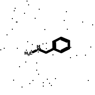 [CH3][AlH][CH2]c1ccccc1